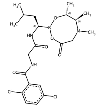 CC(C)C[C@H](NC(=O)CNC(=O)c1cc(Cl)ccc1Cl)B1OC(=O)CN(C)[C@H](C)[C@@H](C)O1